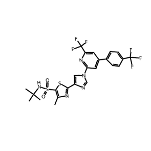 Cc1nc(-c2cn(-c3cc(-c4ccc(C(F)(F)F)cc4)cc(C(F)(F)F)n3)cn2)sc1S(=O)(=O)NC(C)(C)C